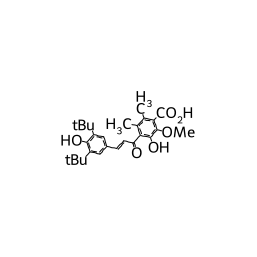 COc1c(O)c(C(=O)C=Cc2cc(C(C)(C)C)c(O)c(C(C)(C)C)c2)c(C)c(C)c1C(=O)O